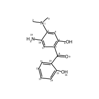 CN(C)c1cc(O)c(C(=O)c2ccccc2O)cc1N